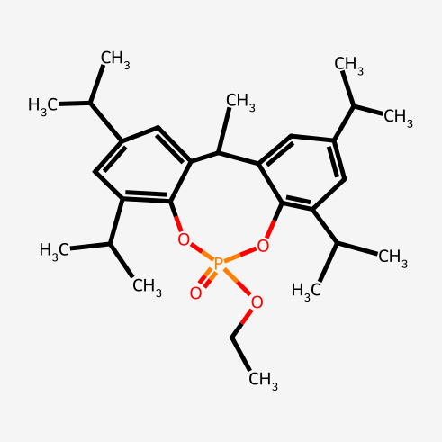 CCOP1(=O)Oc2c(C(C)C)cc(C(C)C)cc2C(C)c2cc(C(C)C)cc(C(C)C)c2O1